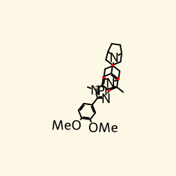 COc1ccc(-c2nc3c(C)cc(C4CC5CCC(C4)N5C4CCN(C(C)C)CC4)cc3n2C)cc1OC